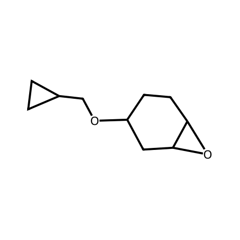 C1CC1COC1CCC2OC2C1